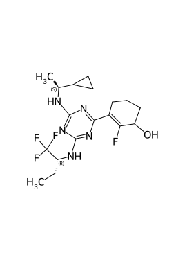 CC[C@@H](Nc1nc(N[C@@H](C)C2CC2)nc(C2=C(F)C(O)CCC2)n1)C(F)(F)F